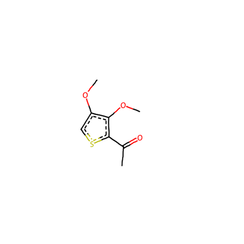 COc1csc(C(C)=O)c1OC